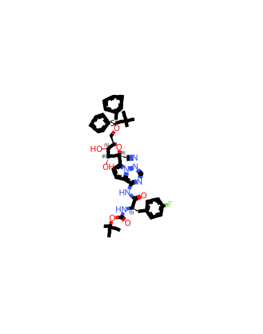 CC(C)(C)OC(=O)N[C@@H](Cc1ccc(F)cc1)C(=O)Nc1ncnn2c([C@]3(C#N)O[C@H](CO[Si](c4ccccc4)(c4ccccc4)C(C)(C)C)[C@@H](O)[C@H]3O)ccc12